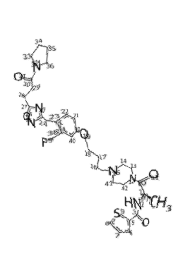 C[C@@H](NC(=O)c1cccs1)C(=O)N1CCN(CCCOc2ccc(-c3noc(CCC(=O)N4CCCC4)n3)c(F)c2)CC1